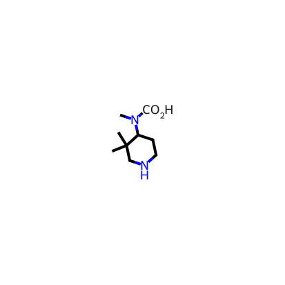 CN(C(=O)O)C1CCNCC1(C)C